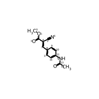 COC(=O)/C(C#N)=C/c1ccc(NC(C)=O)cc1